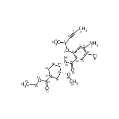 CC#C[C@H](C)Oc1cc(N)c(Cl)cc1C(=O)N[C@H]1CCN(C(=O)OCC)C[C@H]1OC